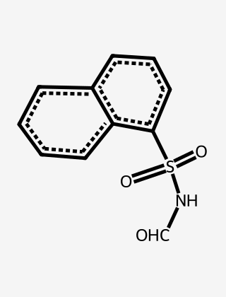 O=CNS(=O)(=O)c1cccc2ccccc12